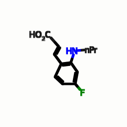 CCCNc1cc(F)ccc1/C=C/C(=O)O